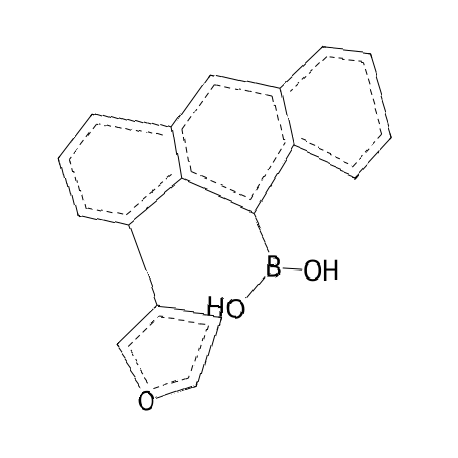 OB(O)c1c2ccccc2cc2cccc(-c3ccoc3)c12